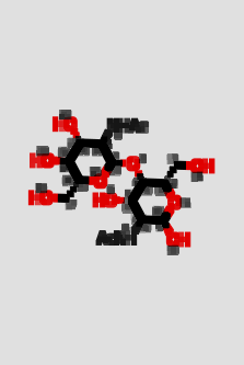 CC(=O)N[C@H]1[C@H](O[C@H]2[C@@H](O)[C@H](NC(C)=O)[C@H](O)O[C@H]2CO)O[C@H](CO)[C@@H](O)[C@@H]1O